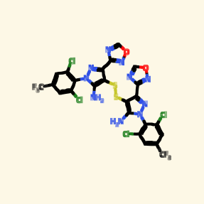 Nc1c(SSc2c(-c3ncon3)nn(-c3c(Cl)cc(C(F)(F)F)cc3Cl)c2N)c(-c2ncon2)nn1-c1c(Cl)cc(C(F)(F)F)cc1Cl